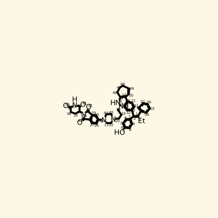 CC/C(=C(\c1ccc(O)cc1)c1ccc(C2=C(NNCCCN3CCN(c4ccc5c(c4)C(=O)N(C4CCC(=O)NC4=O)C5=O)CC3)CCCC=C2)cc1)c1ccccc1